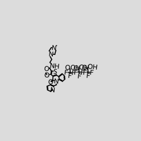 COc1c(C(=O)NCCCN2CCN(C)CC2)sc2c1c(=O)n(Cc1ccccn1)c1ccccc21.O=C(O)C(F)(F)F.O=C(O)C(F)(F)F.O=C(O)C(F)(F)F